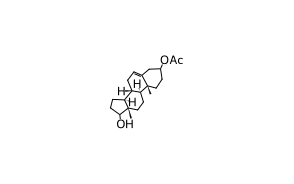 CC(=O)OC1CC[C@@]2(C)C(=CC[C@@H]3[C@@H]2CC[C@]2(C)C(O)CC[C@@H]32)C1